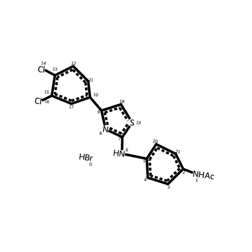 Br.CC(=O)Nc1ccc(Nc2nc(-c3ccc(Cl)c(Cl)c3)cs2)cc1